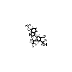 CC(C)Oc1cccc2c3n(nc12)CC(C(C)(C)C)n1cc(C(=O)O)c(=O)cc1-3